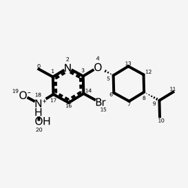 Cc1nc(O[C@H]2CC[C@@H](C(C)C)CC2)c(Br)cc1[NH+]([O-])O